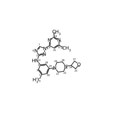 Cc1cc(Nc2ncn(-c3cc(C)nc(C)n3)n2)cc(N2CCN(C3COC3)CC2)c1